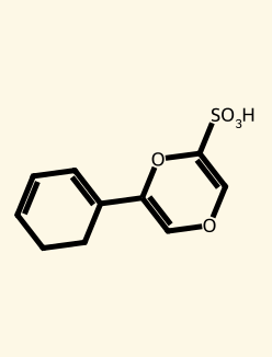 O=S(=O)(O)C1=COC=C(C2=CC=CCC2)O1